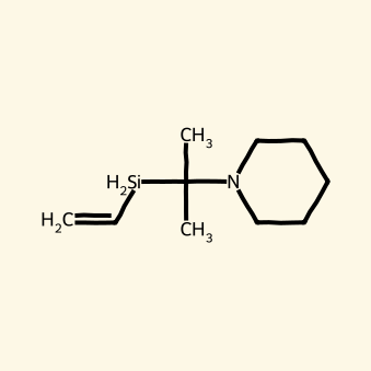 C=C[SiH2]C(C)(C)N1CCCCC1